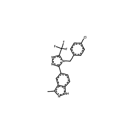 Cc1n[nH]c2ccc(-c3nnc(C(F)(F)F)n3Cc3ccc(Cl)cc3)cc12